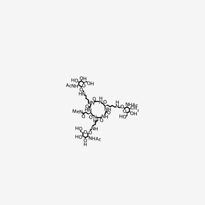 CNC(=O)CC[C@H]1NC(=O)[C@@H](CCCCNCO[C@@H]2O[C@H](CO)[C@H](O)[C@H](O)[C@H]2NC(C)=O)NC(=O)CNC(=O)[C@@H](CCCCNCO[C@@H]2O[C@H](CO)[C@H](O)[C@H](C)[C@H]2NC(C)=O)NC(=O)CNC(=O)[C@@H](CCCCNCO[C@@H]2O[C@H](CO)[C@H](O)[C@H](O)[C@H]2NC(C)=O)NC1=O